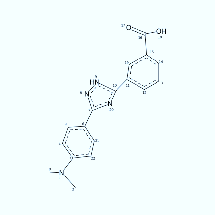 CN(C)c1ccc(-c2n[nH]c(-c3cccc(C(=O)O)c3)n2)cc1